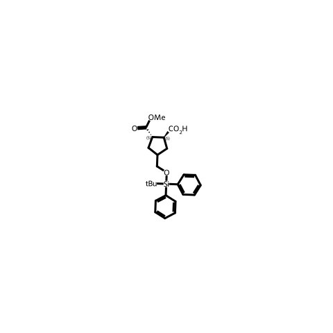 COC(=O)[C@H]1CC(CO[Si](c2ccccc2)(c2ccccc2)C(C)(C)C)C[C@@H]1C(=O)O